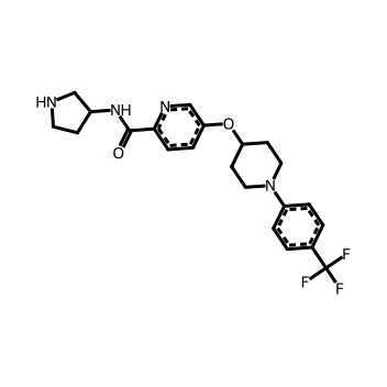 O=C(NC1CCNC1)c1ccc(OC2CCN(c3ccc(C(F)(F)F)cc3)CC2)cn1